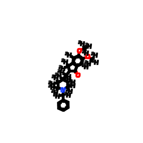 [2H]c1c(OC([2H])([2H])[2H])c(OC([2H])([2H])[2H])c([2H])c2c1C(=O)C(C([2H])([2H])C1([2H])C([2H])([2H])C([2H])([2H])N(C([2H])([2H])c3ccccc3)C([2H])([2H])C1([2H])[2H])C2([2H])[2H]